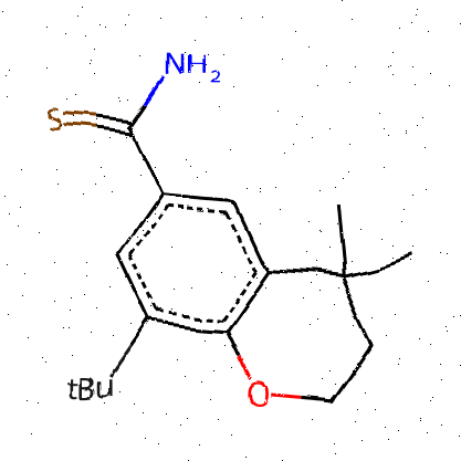 CC(C)(C)c1cc(C(N)=S)cc2c1OCCC2(C)C